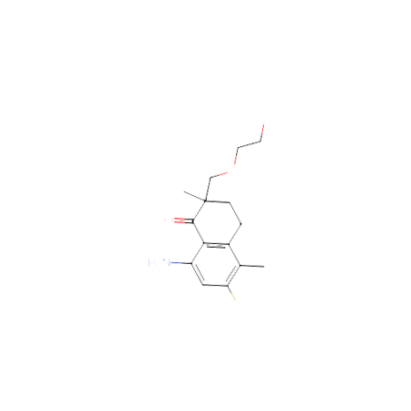 Cc1c(F)cc(N)c2c1CCC(C)(COCCO)C2=O